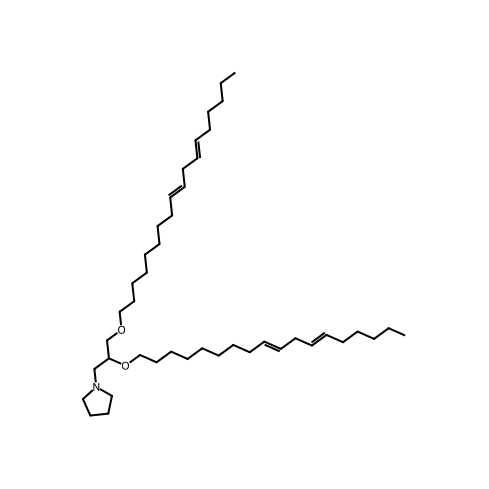 CCCCCC=CCC=CCCCCCCCCOCC(CN1CCCC1)OCCCCCCCCC=CCC=CCCCCC